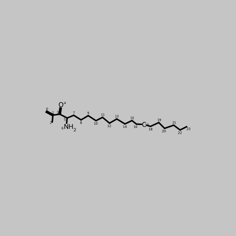 C=C(C)C(=O)C(N)CCCCCCCCCCCCCCCCC